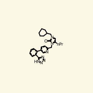 CCCc1cn(CC2CCCCC2)c(=O)n1Cc1ccc(-c2ccccc2-c2nnn[nH]2)cn1